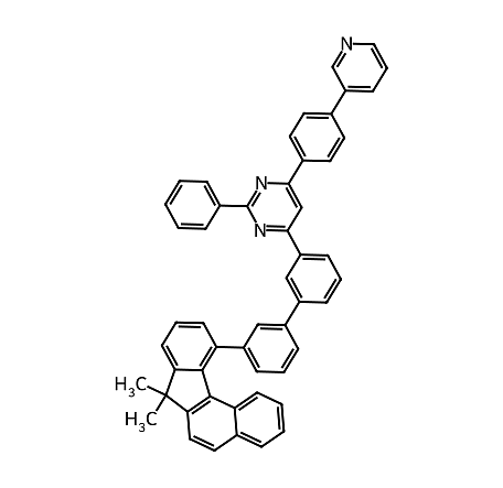 CC1(C)c2cccc(-c3cccc(-c4cccc(-c5cc(-c6ccc(-c7cccnc7)cc6)nc(-c6ccccc6)n5)c4)c3)c2-c2c1ccc1ccccc21